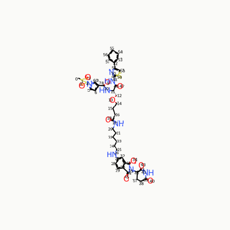 CS(=O)(=O)n1ccc(C(=O)N[C@@H](COCCCC(=O)NCCCCCCNc2ccc3c(c2)C(=O)N(C2CCC(=O)NC2=O)C3=O)C(=O)Nc2nc(-c3ccccc3)cs2)c1